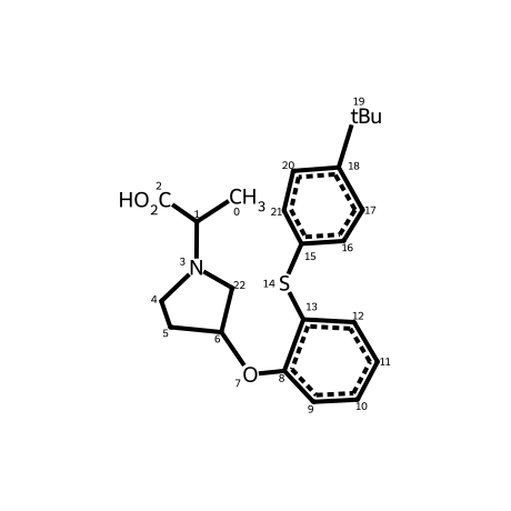 CC(C(=O)O)N1CCC(Oc2ccccc2Sc2ccc(C(C)(C)C)cc2)C1